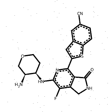 N#Cc1ccc2sc(-c3nc(N[C@@H]4CCOC[C@@H]4N)c(F)c4c3C(=O)NC4)cc2c1